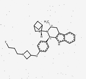 C[C@@H]1Cc2c([nH]c3ccccc23)[C@@H](c2ccc(OC3CN(CCCF)C3)cc2)N1[C@@H]1CC2CC1C2